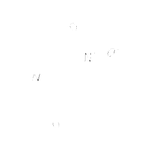 O=[N+]([O-])C1=NCO[C]1